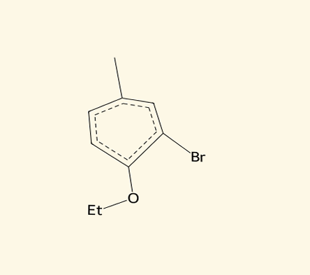 [CH2]COc1ccc(C)cc1Br